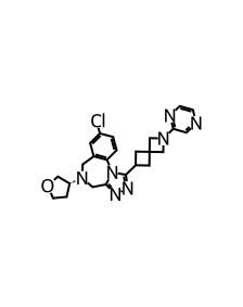 Clc1ccc2c(c1)CN([C@@H]1CCOC1)Cc1nnc(C3CC4(C3)CN(c3cnccn3)C4)n1-2